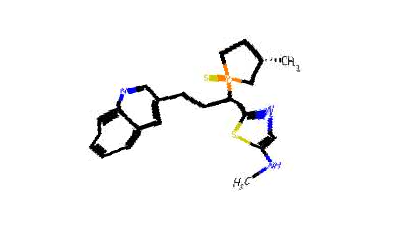 CNc1cnc(C(CCc2cnc3ccccc3c2)P2(=S)CC[C@H](C)C2)s1